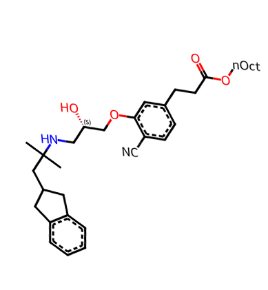 CCCCCCCCOC(=O)CCc1ccc(C#N)c(OC[C@@H](O)CNC(C)(C)CC2Cc3ccccc3C2)c1